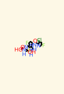 CC1(C)C(NC(=O)O)=N[C@](C)(c2nc(NC(=O)c3ncc(F)cc3Cl)ccc2F)[C@H]2CCN[S@]21O